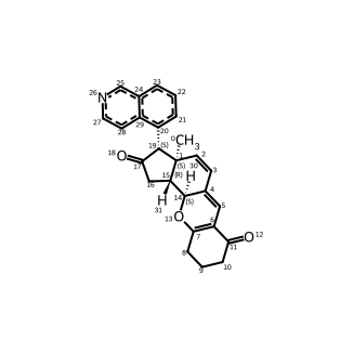 C[C@]12C=CC3=CC4=C(CCCC4=O)O[C@H]3[C@@H]1CC(=O)[C@@H]2c1cccc2cnccc12